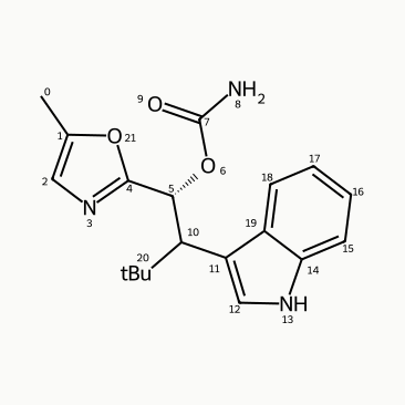 Cc1cnc([C@H](OC(N)=O)C(c2c[nH]c3ccccc23)C(C)(C)C)o1